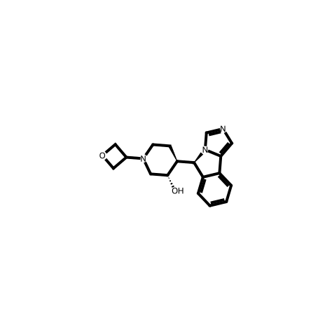 O[C@@H]1CN(C2COC2)CC[C@H]1[C@@H]1c2ccccc2-c2cncn21